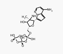 C[C@@]1(N)[C@H](O)[C@@H](COP(=O)(O)OP(=O)(O)OP(=O)(O)O)O[C@H]1c1ccc2c(N)ccnn12